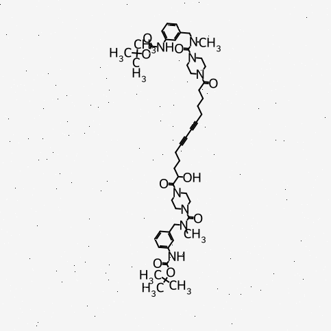 CN(Cc1cccc(NC(=O)OC(C)(C)C)c1)C(=O)N1CCN(C(=O)CCCCC#CC#CCCCC(O)C(=O)N2CCN(C(=O)N(C)Cc3cccc(NC(=O)OC(C)(C)C)c3)CC2)CC1